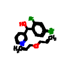 C=CCOCC=C.OC(c1cccnc1)c1ccc(Br)cc1Br